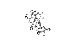 COc1ccc2c(c1)C(=O)N(C[C@@]1(C#Cc3cccc(CO)c3)NC(=O)NC1=O)C2